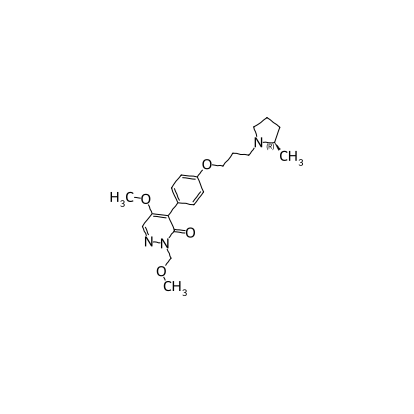 COCn1ncc(OC)c(-c2ccc(OCCCN3CCC[C@H]3C)cc2)c1=O